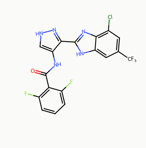 O=C(Nc1c[nH]nc1-c1nc2c(Cl)cc(C(F)(F)F)cc2[nH]1)c1c(F)cccc1F